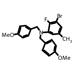 COc1ccc(CN(Cc2ccc(OC)cc2)c2cc(C)cc(Br)c2F)cc1